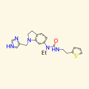 CCN(C(=O)NCCc1cccs1)c1ccc2c(c1)N(Cc1c[nH]cn1)CC2